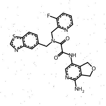 Nc1ncc(NC(=O)C(=O)N(Cc2ccc3scnc3c2)Cc2ncccc2F)c2c1COC2